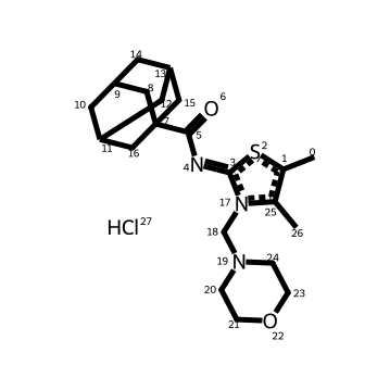 Cc1sc(=NC(=O)C23CC4CC(CC(C4)C2)C3)n(CN2CCOCC2)c1C.Cl